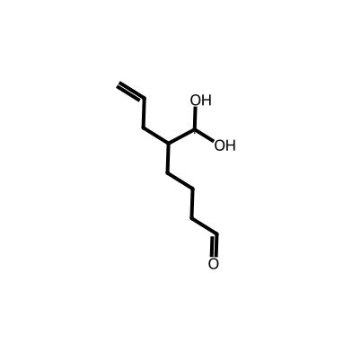 C=CCC(CCCC=O)[C](O)O